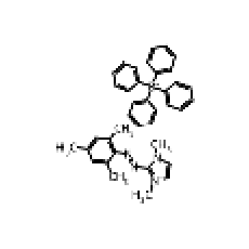 Cc1cc(C)c(N=Nc2n(C)cc[n+]2C)c(C)c1.c1ccc([B-](c2ccccc2)(c2ccccc2)c2ccccc2)cc1